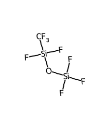 FC(F)(F)[Si](F)(F)O[Si](F)(F)F